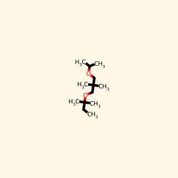 CCC(C)(C)OCC(C)(C)COC(C)C